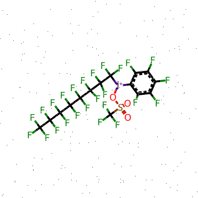 O=S(=O)(O[I+](c1c(F)c(F)c(F)c(F)c1F)C(F)(F)C(F)(F)C(F)(F)C(F)(F)C(F)(F)C(F)(F)C(F)(F)C(F)(F)F)C(F)(F)F